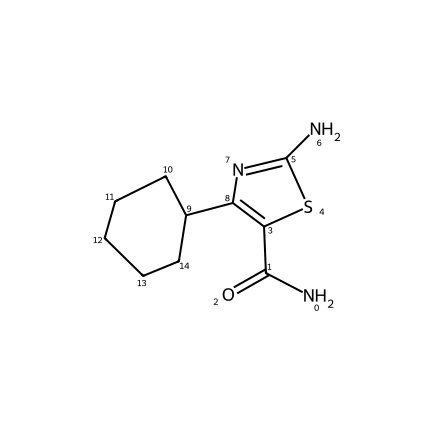 NC(=O)c1sc(N)nc1C1CCCCC1